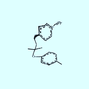 Cc1ccc(OC(C)(C)Cc2cc[n+](C(C)C)cc2)cc1